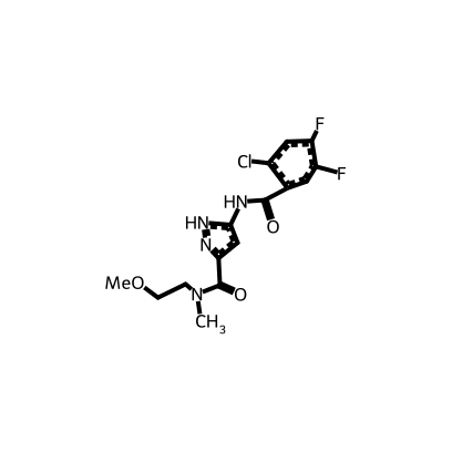 COCCN(C)C(=O)c1cc(NC(=O)c2cc(F)c(F)cc2Cl)[nH]n1